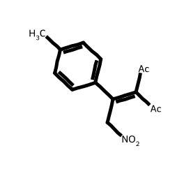 CC(=O)C(C(C)=O)=C(C[N+](=O)[O-])c1ccc(C)cc1